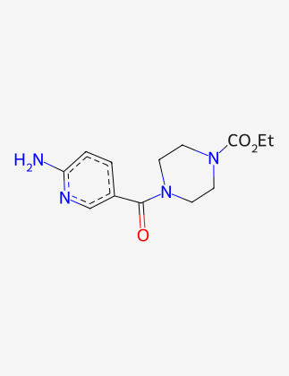 CCOC(=O)N1CCN(C(=O)c2ccc(N)nc2)CC1